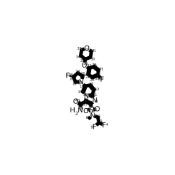 CN(CC(F)F)S(=O)(=O)c1nc2ccc(N3C[C@@H](F)C[C@@H]3c3cc(F)ccc3OC3CCOCC3)cn2c1C(N)=O